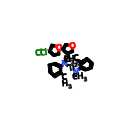 C1CCOC1.C1CCOC1.Cc1ccccc1[N](C)[Ti+2][N](C)c1ccccc1C.[Cl-].[Cl-]